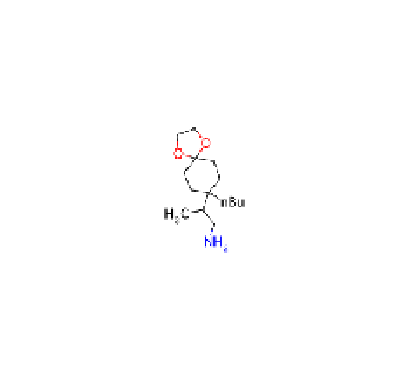 CCCCC1(C(C)CN)CCC2(CC1)OCCO2